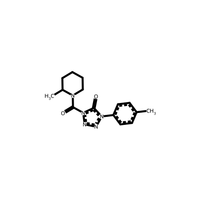 Cc1ccc(-n2nnn(C(=O)N3CCCCC3C)c2=O)cc1